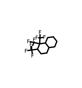 FC(F)(F)C1CCC2CCCCC2C1(C(F)(F)F)C(F)(F)F